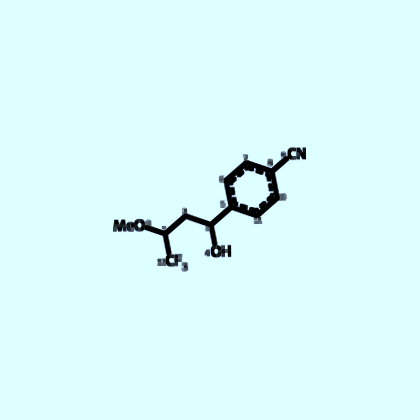 COC(CC(O)c1ccc(C#N)cc1)C(F)(F)F